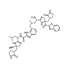 CC(C)CC(NC(=O)c1nc2cccc(CC(C)CC(N)C3=NCC(CC4CCNC4=O)(C(=O)c4nc5ccccc5s4)N3)c2[nH]1)C1=NCC(C#N)(CC2CCNC2=O)N1